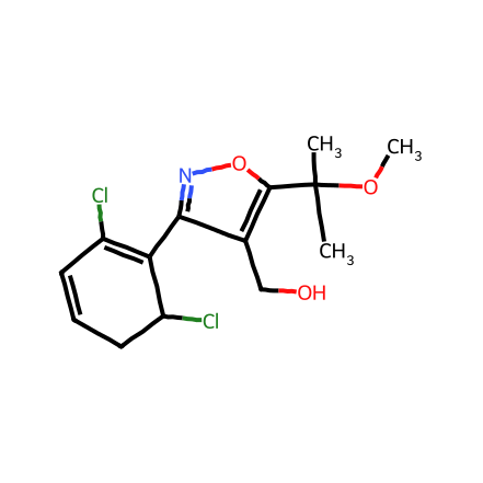 COC(C)(C)c1onc(C2=C(Cl)C=CCC2Cl)c1CO